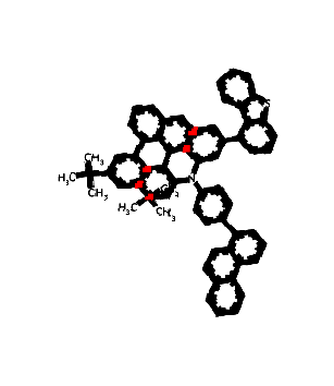 CC(C)(C)c1cc(-c2cccc3cccc(-c4ccccc4N(c4ccc(-c5cccc6c5ccc5ccccc56)cc4)c4cccc(-c5cccc6sc7ccccc7c56)c4)c23)cc(C(C)(C)C)c1